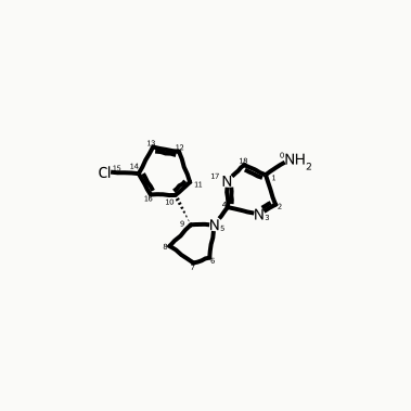 Nc1cnc(N2CCC[C@@H]2c2cccc(Cl)c2)nc1